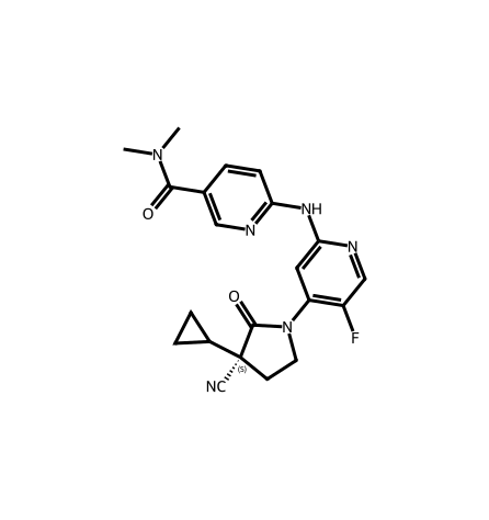 CN(C)C(=O)c1ccc(Nc2cc(N3CC[C@@](C#N)(C4CC4)C3=O)c(F)cn2)nc1